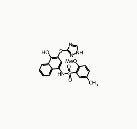 COc1ccc(C)cc1S(=O)(=O)Nc1cc(Sc2nc[nH]n2)c(O)c2ccccc12